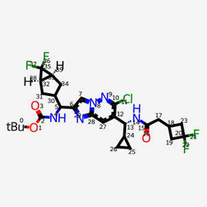 CC(C)(C)OC(=O)NC(c1cn2nc(Cl)c([C@H](NC(=O)CC3CC(F)(F)C3)C3CC3)cc2n1)C1C[C@@H]2[C@H](C1)C2(F)F